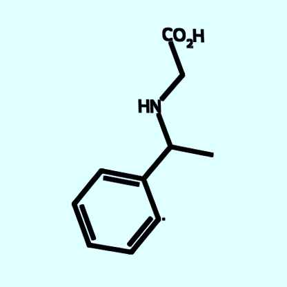 CC(NCC(=O)O)c1[c]cccc1